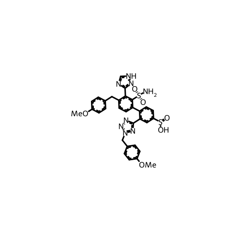 COc1ccc(Cc2ccc(-c3ccc(S(=O)O)cc3-c3nnn(Cc4ccc(OC)cc4)n3)c(S(N)(=O)=O)c2-c2nc[nH]n2)cc1